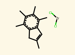 CC1=Cc2c(C)c(C)c(C)c(C)c2[CH]1.[Cl][Zr][Cl]